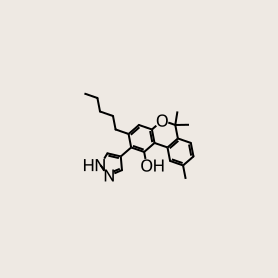 CCCCCc1cc2c(c(O)c1-c1cn[nH]c1)-c1cc(C)ccc1C(C)(C)O2